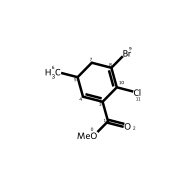 COC(=O)C1=CC(C)CC(Br)=C1Cl